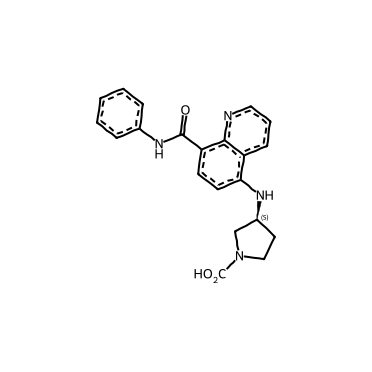 O=C(Nc1ccccc1)c1ccc(N[C@H]2CCN(C(=O)O)C2)c2cccnc12